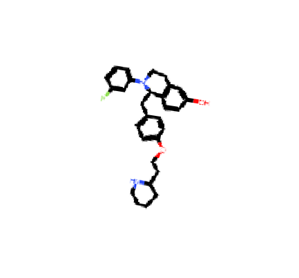 Oc1ccc2c(c1)CCN(c1cccc(F)c1)C2Cc1ccc(OCCC2CCCCN2)cc1